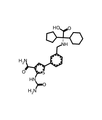 NC(=O)Nc1sc(-c2cccc(CN[C@](C(=O)O)(C3CCCCC3)C3CCCC3)c2)cc1C(N)=O